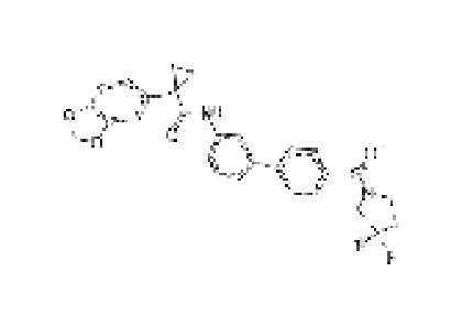 O=C(Nc1cccc(-c2ccc([S+]([O-])N3CCC(F)(F)C3)cc2)c1)C1(c2ccc3c(c2)OCO3)CC1